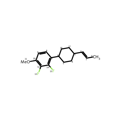 C/C=C/C1CCC(c2ccc(OC)c(F)c2F)CC1